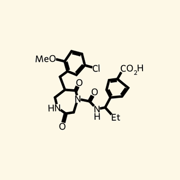 CCC(NC(=O)N1CC(=O)NCC(Cc2cc(Cl)ccc2OC)C1=O)c1ccc(C(=O)O)cc1